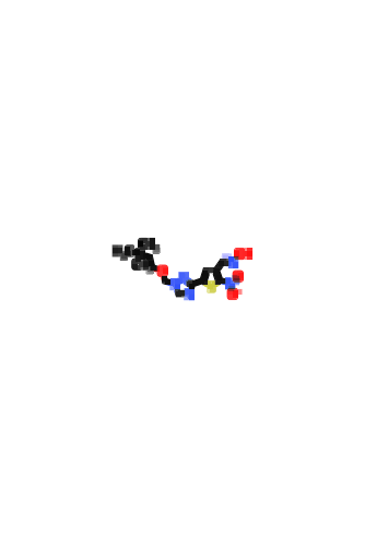 C[Si](C)(C)CCOCn1cnc(-c2cc(/C=N/O)c([N+](=O)[O-])s2)n1